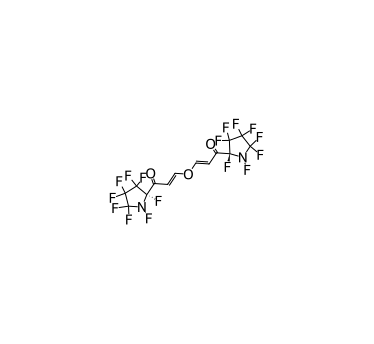 O=C(C=COC=CC(=O)[C@@]1(F)N(F)C(F)(F)C(F)(F)C1(F)F)[C@@]1(F)N(F)C(F)(F)C(F)(F)C1(F)F